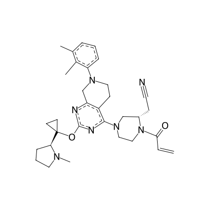 C=CC(=O)N1CCN(c2nc(OC3([C@@H]4CCCN4C)CC3)nc3c2CCN(c2cccc(C)c2C)C3)C[C@@H]1CC#N